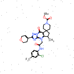 CC1CC2(CCN(C(=O)OC(C)(C)C)CC2)c2c1n(CC(=O)Nc1ccc(C(F)(F)F)cc1Cl)c1nc(C3=CCOCC3)nn1c2=O